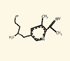 CC(=N)c1ncc(CC(C)CCC(C)C)cc1C